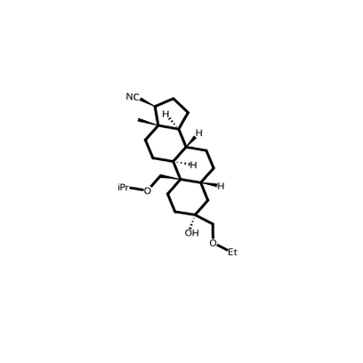 CCOC[C@@]1(O)CC[C@@]2(COC(C)C)[C@H](CC[C@H]3[C@@H]4CC[C@H](C#N)[C@@]4(C)CC[C@@H]32)C1